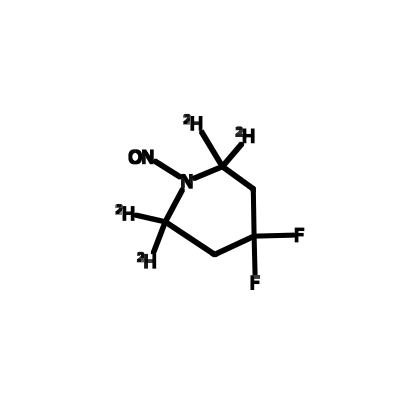 [2H]C1([2H])CC(F)(F)CC([2H])([2H])N1N=O